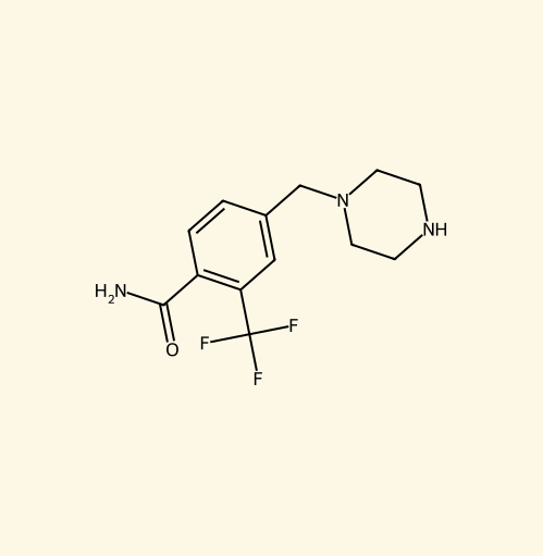 NC(=O)c1ccc(CN2CCNCC2)cc1C(F)(F)F